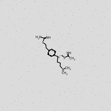 CC(=N)SC[C@H](CCCN(C)C)c1ccc(CCSC(=N)N)cc1